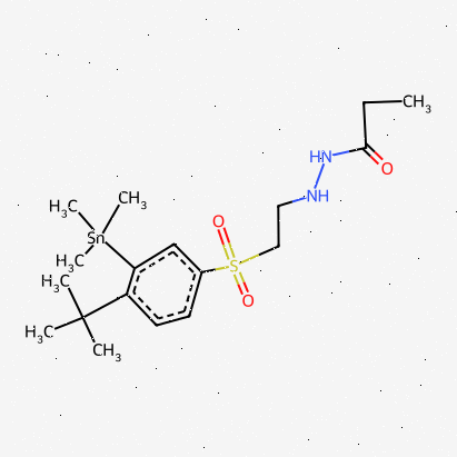 CCC(=O)NNCCS(=O)(=O)c1ccc(C(C)(C)C)[c]([Sn]([CH3])([CH3])[CH3])c1